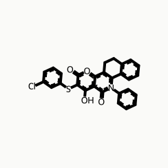 O=c1oc2c3c(n(-c4ccccc4)c(=O)c2c(O)c1Sc1cccc(Cl)c1)-c1ccccc1CC3